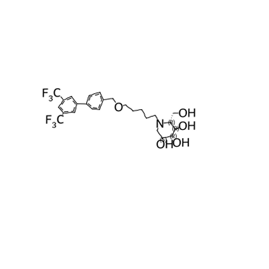 OC[C@@H]1[C@@H](O)[C@H](O)[C@@H](O)CN1CCCCCOCc1ccc(-c2cc(C(F)(F)F)cc(C(F)(F)F)c2)cc1